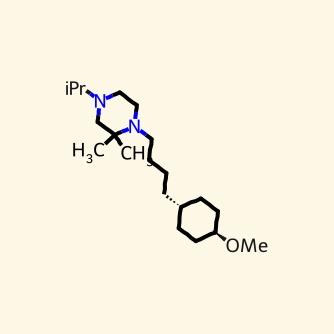 CO[C@H]1CC[C@H](CCCCN2CCN(C(C)C)CC2(C)C)CC1